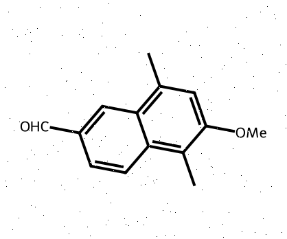 COc1cc(C)c2cc(C=O)ccc2c1C